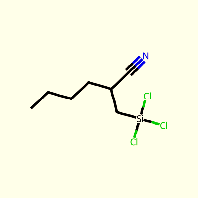 CCCCC(C#N)C[Si](Cl)(Cl)Cl